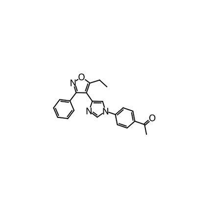 CCc1onc(-c2ccccc2)c1-c1cn(-c2ccc(C(C)=O)cc2)cn1